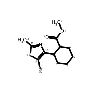 COC(=O)C1CCCCC1c1nc(C)sc1Br